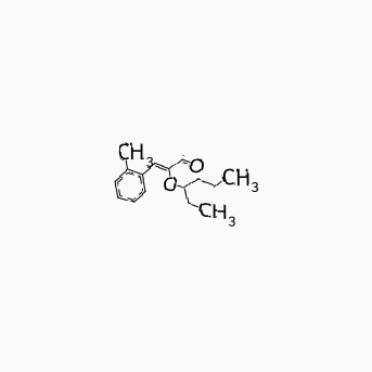 CCCC(CC)OC([C]=O)=Cc1ccccc1C